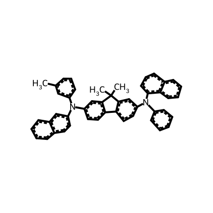 Cc1cccc(N(c2ccc3c(c2)C(C)(C)c2cc(N(c4ccccc4)c4cccc5ccccc45)ccc2-3)c2ccc3ccccc3c2)c1